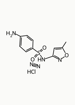 Cc1cc(NS(=O)(=O)c2ccc(N)cc2)no1.Cl.N#N